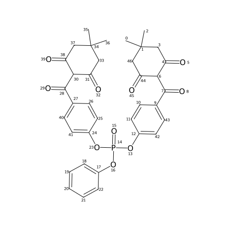 CC1(C)CC(=O)C(C(=O)c2ccc(OP(=O)(Oc3ccccc3)Oc3ccc(C(=O)C4C(=O)CC(C)(C)CC4=O)cc3)cc2)C(=O)C1